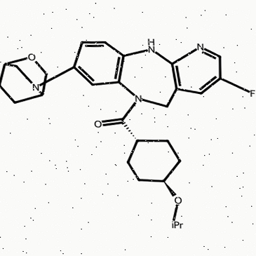 CC(C)O[C@H]1CC[C@H](C(=O)N2Cc3cc(F)cnc3Nc3ccc(N4CC5CCC4CO5)cc32)CC1